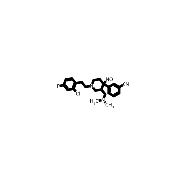 CN(C)CC1CN(CCc2ccc(F)cc2Cl)CCC1(N=O)c1cccc(C#N)c1